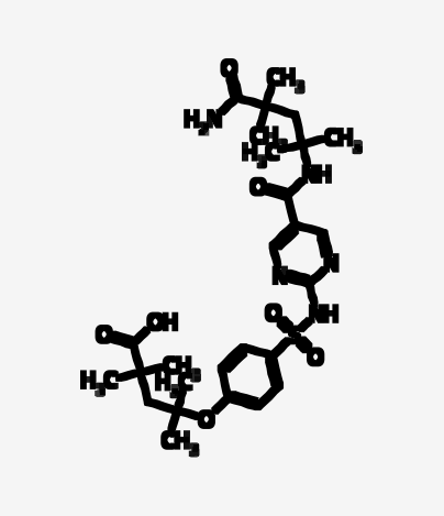 CC(C)(CC(C)(C)C(N)=O)NC(=O)c1cnc(NS(=O)(=O)c2ccc(OC(C)(C)CC(C)(C)C(=O)O)cc2)nc1